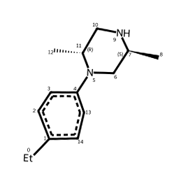 CCc1ccc(N2C[C@H](C)NC[C@H]2C)cc1